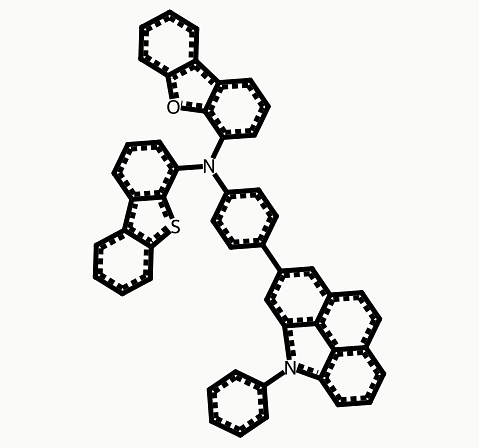 c1ccc(-n2c3cccc4ccc5cc(-c6ccc(N(c7cccc8c7oc7ccccc78)c7cccc8c7sc7ccccc78)cc6)cc2c5c43)cc1